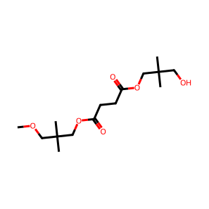 COCC(C)(C)COC(=O)CCC(=O)OCC(C)(C)CO